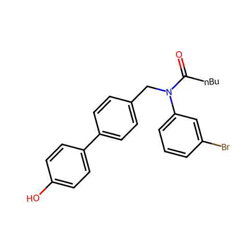 CCCCC(=O)N(Cc1ccc(-c2ccc(O)cc2)cc1)c1cccc(Br)c1